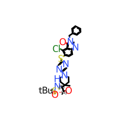 C[C@@H]1OCC2(CCN(c3cnc(Sc4ccc5ncn(Cc6ccccc6)c(=O)c5c4Cl)cn3)CC2)[C@@H]1N[S+]([O-])C(C)(C)C